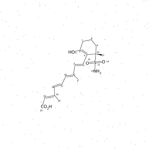 CC(/C=C/C1=C(O)CCC[C@]1(C)S(N)(=O)=O)=C\C=C\C(C)=C\C(=O)O